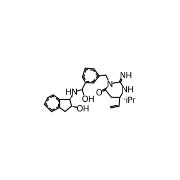 C=C[C@@]1(C(C)C)CC(=O)N(Cc2cccc(C(O)N[C@@H]3c4ccccc4C[C@@H]3O)c2)C(=N)N1